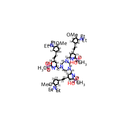 CCN(CC)c1cc(C#Cc2cc(CN3CCN(Cc4cc(C#Cc5ccc(OC)c(N(CC)CC)c5)cc(P(C)(=O)O)n4)CCN(Cc4cc(C#Cc5ccc(OC)c(N(CC)CC)c5)cc(P(C)(=O)O)n4)CC3)nc(P(C)(=O)O)c2)ccc1OC